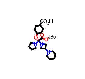 CC(C)(C)OC(=O)C(OC1CCC(C(=O)O)CC1)(N1CCCC1)N1CC(N2CCCCC2)C1